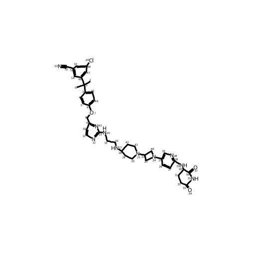 CC(C)(c1ccc(OCc2ccnc(NCCNC3CCN(C4CN(c5ccc(NC6CCC(=O)NC6=O)nc5)C4)CC3)n2)cc1)c1cc(Cl)cc(C#N)c1